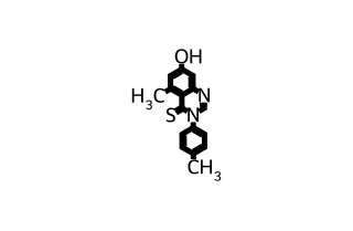 Cc1ccc(-n2cnc3cc(O)cc(C)c3c2=S)cc1